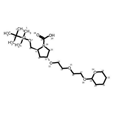 CC(C)(C)[Si](C)(C)OC[C@@H]1C[C@@H](OCCOCCOC2CCCCO2)CN1C(=O)O